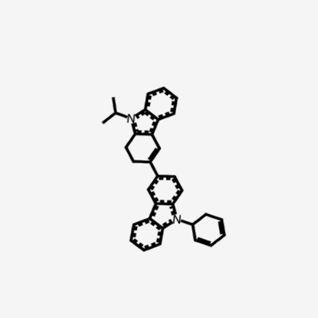 CC(C)n1c2c(c3ccccc31)C=C(c1ccc3c(c1)c1ccccc1n3C1C=CC=CC1)CC2